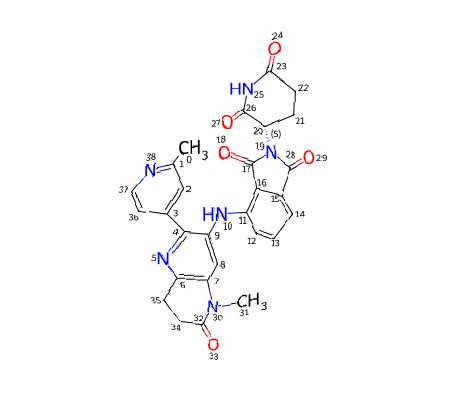 Cc1cc(-c2nc3c(cc2Nc2cccc4c2C(=O)N([C@H]2CCC(=O)NC2=O)C4=O)N(C)C(=O)CC3)ccn1